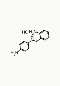 Cl.Nc1ccc(NCc2ccccc2N)cc1